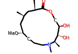 CO[C@H]1CCCN(C)[C@H](C)[C@@H](O)[C@H](O)COC(=O)[C@H](C)C[C@H](C)C1